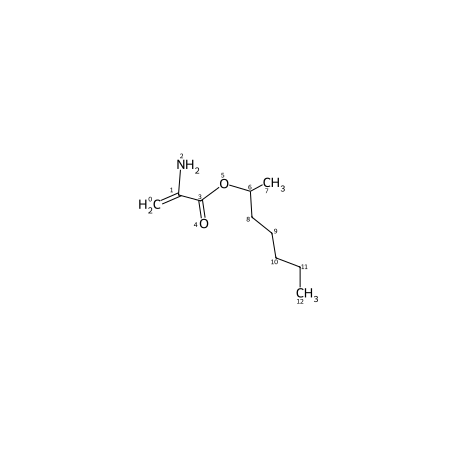 C=C(N)C(=O)OC(C)CCCCC